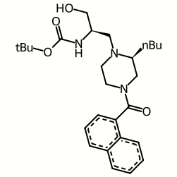 CCCC[C@H]1CN(C(=O)c2cccc3ccccc23)CCN1C[C@H](CO)NC(=O)OC(C)(C)C